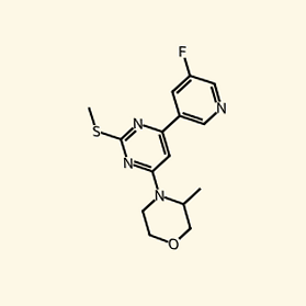 CSc1nc(-c2cncc(F)c2)cc(N2CCOCC2C)n1